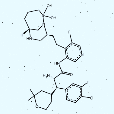 CC1(C)CC([C@H](c2ccc(Cl)c(F)c2)[C@H](N)C(=O)Nc2cncc(F)c2CC[C@H]2CN[C@@H]3CCCS(O)(O)N2C3)CCO1